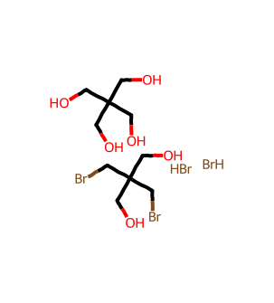 Br.Br.OCC(CO)(CBr)CBr.OCC(CO)(CO)CO